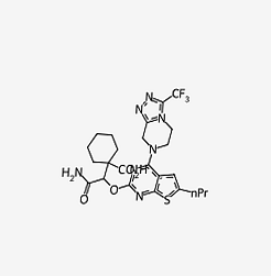 CCCc1cc2c(N3CCn4c(nnc4C(F)(F)F)C3)nc(OC(C(N)=O)C3(C(=O)O)CCCCC3)nc2s1